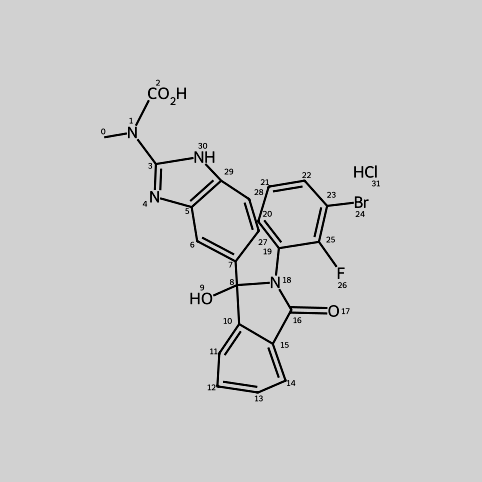 CN(C(=O)O)c1nc2cc(C3(O)c4ccccc4C(=O)N3c3cccc(Br)c3F)ccc2[nH]1.Cl